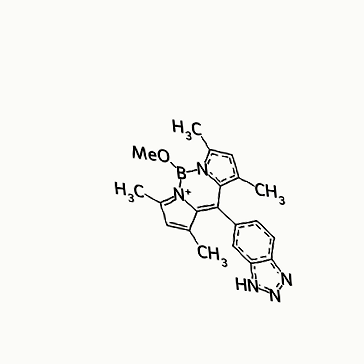 COB1n2c(C)cc(C)c2C(c2ccc3nn[nH]c3c2)=C2C(C)=CC(C)=[N+]12